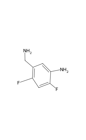 NCc1cc(N)c(F)cc1F